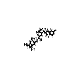 Cc1ccc2ncc(C3NCc4ncc(C(=O)NCc5cc6c(Cl)c[nH]c6cc5F)cc43)cc2c1